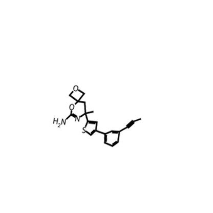 CC#Cc1cccc(-c2csc(C3(C)CC4(COC4)OC(N)=N3)c2)c1